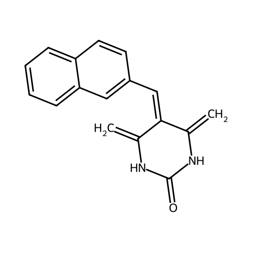 C=C1NC(=O)NC(=C)C1=Cc1ccc2ccccc2c1